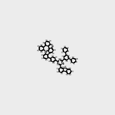 c1ccc(-c2cc(-c3ccccc3)cc(-c3nc(-c4ccc(-c5cccc6c5c5ccc7sc8cccc9c%10ccccc%10n6c5c7c89)cc4)nc(-c4cccc5c4sc4ccccc45)n3)c2)cc1